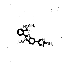 CC(C)(C)n1c(-c2ccccc2C(=O)NN)nc2c1=CCC(c1cnc(N)nc1)C=2